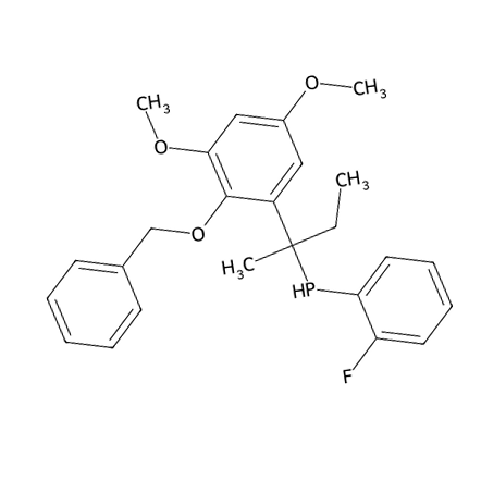 CCC(C)(Pc1ccccc1F)c1cc(OC)cc(OC)c1OCc1ccccc1